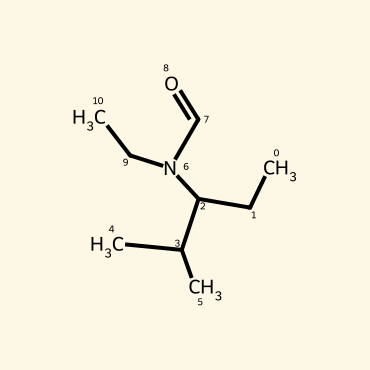 CCC(C(C)C)N(C=O)CC